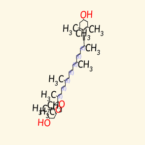 CC1=C(C#C/C(C)=C/C=C/C(C)=C/C=C/C=C(C)/C=C/C=C(\C)C(=O)CC23OC2(C)CC(O)CC3(C)C)C(C)(C)CC(O)C1